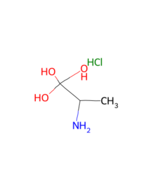 CC(N)C(O)(O)O.Cl